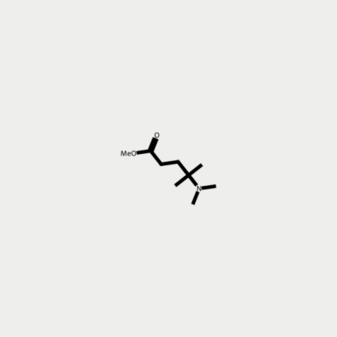 COC(=O)CCC(C)(C)N(C)C